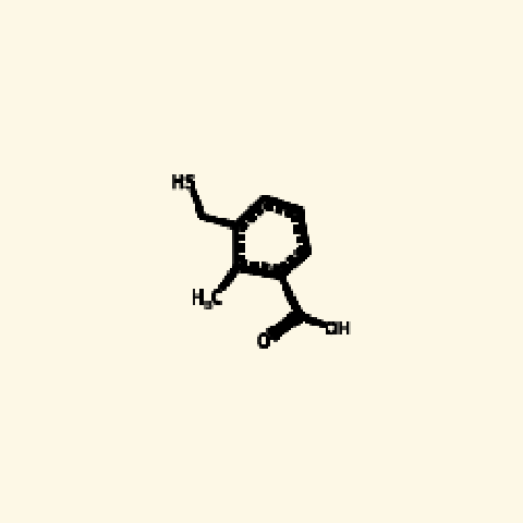 Cc1c(CS)cccc1C(=O)O